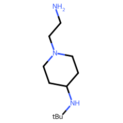 CC(C)(C)NC1CCN(CCN)CC1